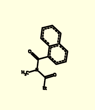 CCC(=O)N(C)C(=O)c1cccc2ccccc12